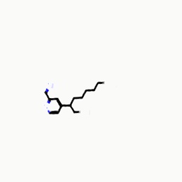 CCCCCCC(CC)c1ccnc(C=N)c1